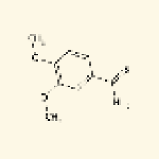 COc1ccc(C(N)=S)cc1OC